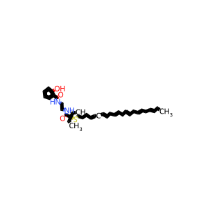 CCC=CCC=CCC=CCC=CCC=CCC=CCCCSC(CC)(CC)C(=O)NCCNC(=O)c1ccccc1O